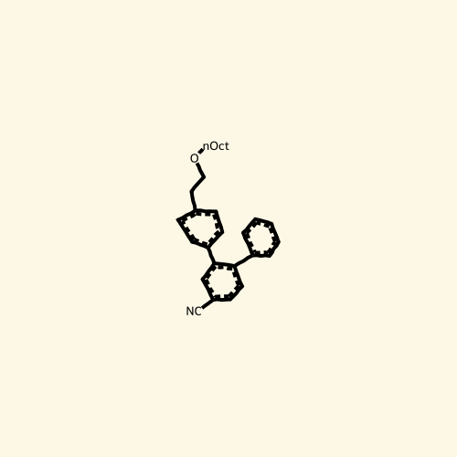 CCCCCCCCOCCc1ccc(-c2cc(C#N)ccc2-c2ccccc2)cc1